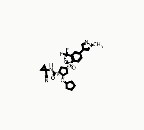 Cn1cc(-c2ccc(S(=O)(=O)[C@H]3C[C@@H](OC4CCCC4)[C@H](C(=O)NC4(C#N)CC4)C3)c(C(F)(F)F)c2)cn1